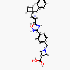 O=C(O)C1CN(Cc2ccc(-c3noc(/C=C/C4(Cc5ccccc5)CCC4)n3)cc2)C1